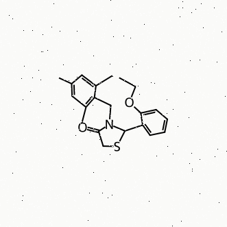 CCOc1ccccc1C1SCC(=O)N1Cc1c(C)cc(C)cc1C